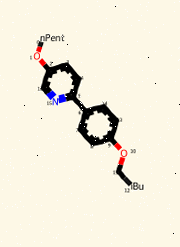 CCCCCOc1ccc(-c2ccc(OCC(C)CC)cc2)nc1